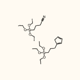 CCO[Si](CCCC#N)(OCC)OCC.CCO[Si](CCCC1=CC=CC1)(OCC)OCC